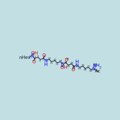 CCCCCCN(O)C(=O)CCC(=O)NCCCCCN(O)C(=O)CCC(=O)NCCCCCN(N)C(C)=O